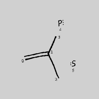 C=C(C)C.[P].[S]